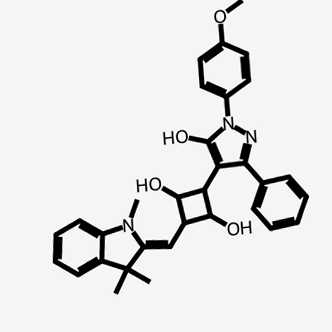 COc1ccc(-n2nc(-c3ccccc3)c(C3C(O)C(C=C4N(C)c5ccccc5C4(C)C)C3O)c2O)cc1